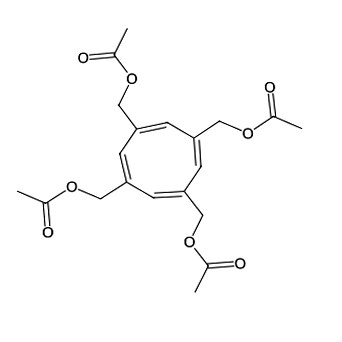 CC(=O)OCC1=CC(COC(C)=O)=CC(COC(C)=O)=CC(COC(C)=O)=C1